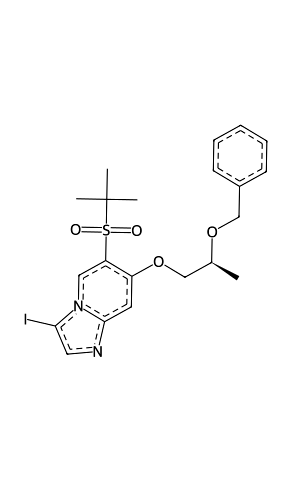 C[C@@H](COc1cc2ncc(I)n2cc1S(=O)(=O)C(C)(C)C)OCc1ccccc1